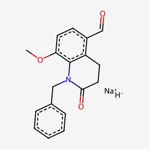 COc1ccc(C=O)c2c1N(Cc1ccccc1)C(=O)CC2.[H-].[Na+]